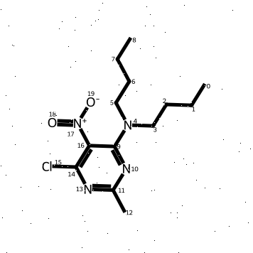 CCCCN(CCCC)c1nc(C)nc(Cl)c1[N+](=O)[O-]